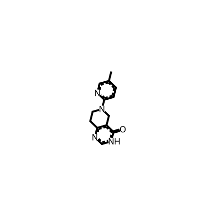 Cc1ccc(N2CCc3nc[nH]c(=O)c3C2)nc1